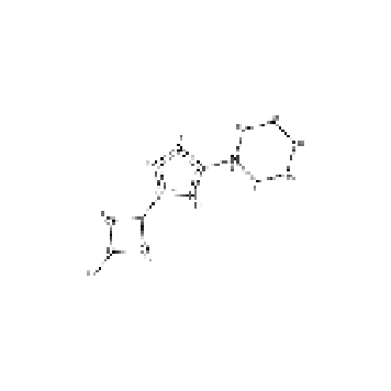 CC1OC(c2csc(N3CCCCC3)n2)O1